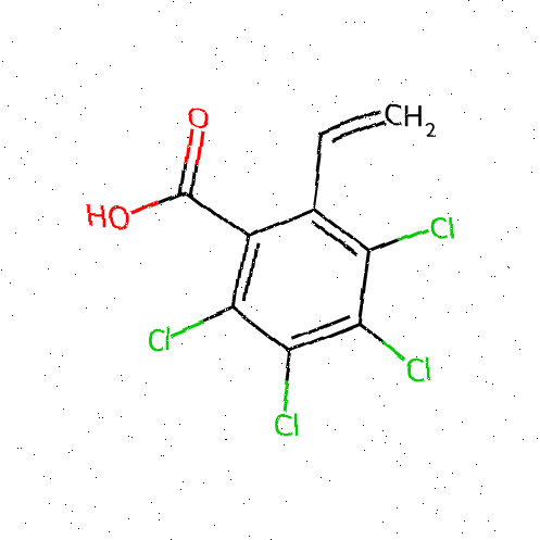 C=Cc1c(Cl)c(Cl)c(Cl)c(Cl)c1C(=O)O